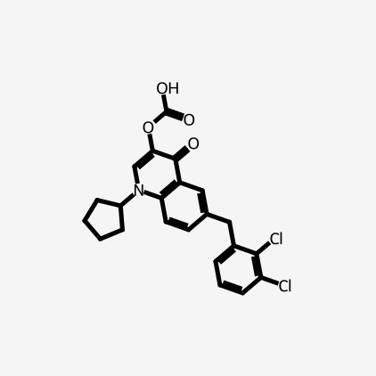 O=C(O)Oc1cn(C2CCCC2)c2ccc(Cc3cccc(Cl)c3Cl)cc2c1=O